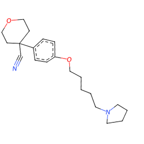 N#CC1(c2ccc(OCCCCCN3CCCC3)cc2)CCOCC1